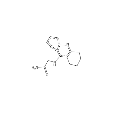 NC(=O)CNc1c2c(nc3ccccc13)CCCC2